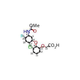 COC(=O)Nc1cc(Oc2ccccc2OCC(=O)O)c(Cl)cc1F